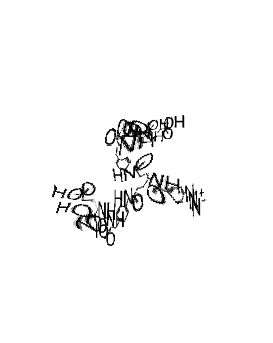 [N-]=[N+]=Nc1ccc(C(=O)NC(CCC(=O)Nc2ccc(C[C@H](NC(=O)N[C@@H](CCC(=O)O)C(=O)O)C(=O)O)cc2)CCC(=O)Nc2ccc(C[C@H](NC(=O)N[C@@H](CCC(=O)O)C(=O)O)C(=O)O)cc2)cc1